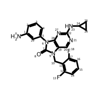 Nc1cccc(-n2c(=O)n(Cc3c(F)cccc3F)c3cnc(NC4CC4)nc32)c1